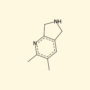 Cc1cc2c(nc1C)CNC2